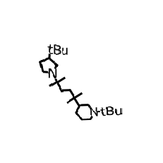 CC(C)(C)C1CCN(C(C)(C)CCC(C)(C)C2CCCN(C(C)(C)C)C2)C1